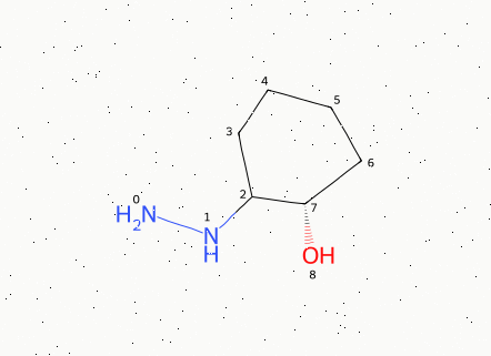 NNC1CCCC[C@@H]1O